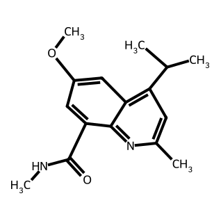 CNC(=O)c1cc(OC)cc2c(C(C)C)cc(C)nc12